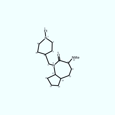 CCN1CCC(CN2C(=O)C(NC)CCC3CCCC32)CC1